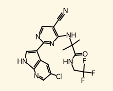 CC(C)(Nc1nc(-c2c[nH]c3ncc(Cl)cc23)ncc1C#N)C(=O)NCC(F)(F)F